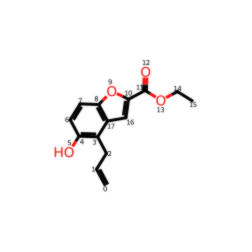 C=CCc1c(O)ccc2oc(C(=O)OCC)cc12